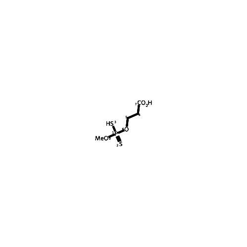 COP(=S)(S)OCCC(=O)O